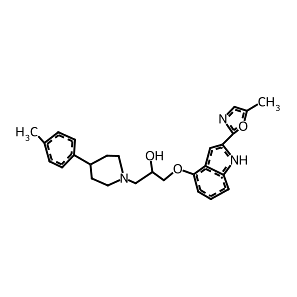 Cc1ccc(C2CCN(CC(O)COc3cccc4[nH]c(-c5ncc(C)o5)cc34)CC2)cc1